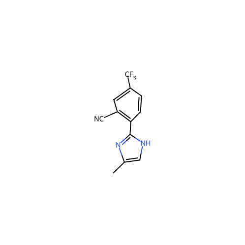 Cc1c[nH]c(-c2ccc(C(F)(F)F)cc2C#N)n1